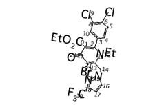 CCOC(=O)c1c(-c2ccc(Cl)c(Cl)c2)n(CC)c(Cn2ccc(C(F)(F)F)n2)c(Br)c1=O